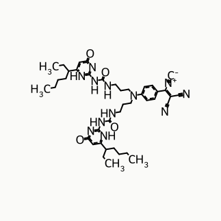 [C-]#[N+]C(=C(C#N)C#N)c1ccc(N(CCCNC(=O)Nc2nc(=O)cc(C(CC)CCCC)[nH]2)CCCNC(=O)Nc2nc(=O)cc(C(CC)CCCC)[nH]2)cc1